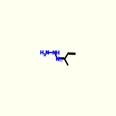 C=C/C(C)=N\NN